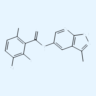 Cc1n[nH]c2ncc(NC(=O)c3c(F)ccc(N)c3F)cc12